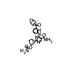 C[C@@H]1COC[C@H](C)N1C(=O)c1cccc(Nc2nc(N3CCC[C@H](OC(N)=O)C3)ncc2C(N)=O)c1